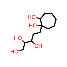 OCC(O)C(O)CCC1(O)CCCCCC1O